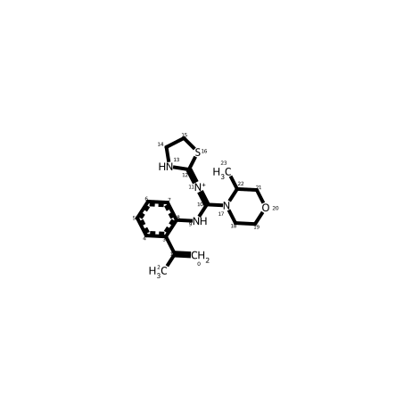 C=C(C)c1ccccc1NC(=[N+]=C1NCCS1)N1CCOCC1C